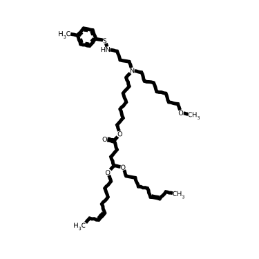 CC/C=C\CCCCOC(CCC(=O)OCCCCCCCN(CCCCCCCOC)CCCNSc1ccc(C)cc1)OCCCC/C=C\CC